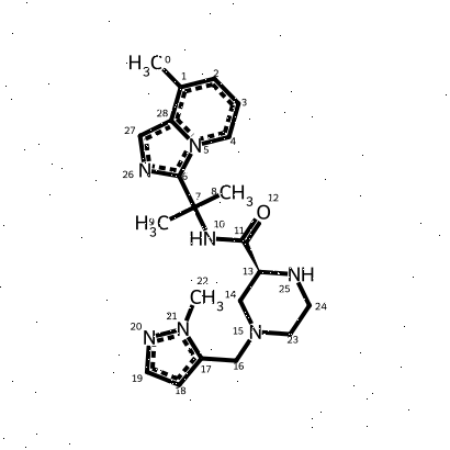 Cc1cccn2c(C(C)(C)NC(=O)[C@@H]3CN(Cc4ccnn4C)CCN3)ncc12